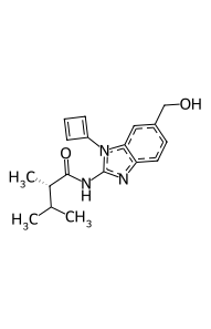 CC(C)[C@H](C)C(=O)Nc1nc2ccc(CO)cc2n1C1=CC=C1